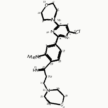 CNc1cc(-c2nc(Cl)cc(N3CCOCC3)n2)ccc1C(=N)CCN1CCOCC1